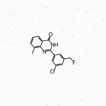 Cc1cccc2c(=O)[nH]c(-c3cc(Cl)cc(CF)c3)nc12